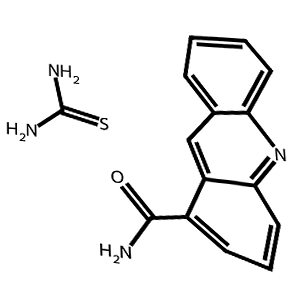 NC(=O)c1cccc2nc3ccccc3cc12.NC(N)=S